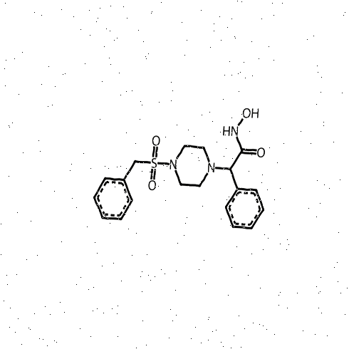 O=C(NO)C(c1ccccc1)N1CCN(S(=O)(=O)Cc2ccccc2)CC1